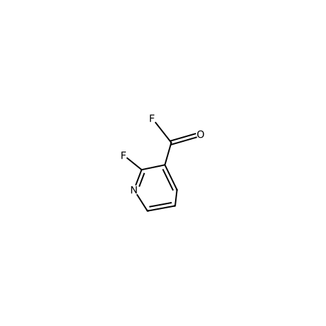 O=C(F)c1cccnc1F